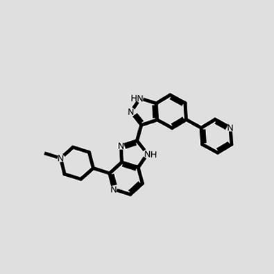 CN1CCC(c2nccc3[nH]c(-c4n[nH]c5ccc(-c6cccnc6)cc45)nc23)CC1